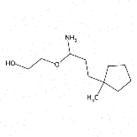 CC1(CCC(N)OCCO)CCCC1